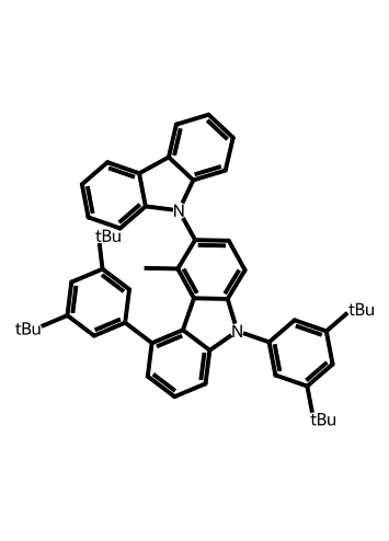 Cc1c(-n2c3ccccc3c3ccccc32)ccc2c1c1c(-c3cc(C(C)(C)C)cc(C(C)(C)C)c3)cccc1n2-c1cc(C(C)(C)C)cc(C(C)(C)C)c1